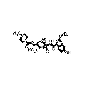 CN1CCN(C(=O)OCC2=C(C(=O)O)N3C(=O)C(NC(=O)C(NC(=O)OC(C)(C)C)c4ccc(O)cc4)[C@@H]3[S+]([O-])C2)CC1